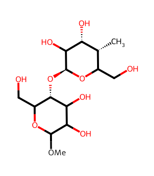 COC1OC(CO)[C@H](O[C@@H]2OC(CO)[C@@H](C)[C@@H](O)C2O)C(O)C1O